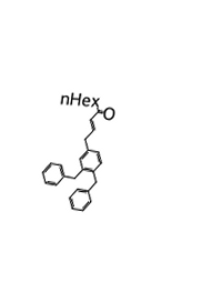 CCCCCCC(=O)C=CCc1ccc(Cc2ccccc2)c(Cc2ccccc2)c1